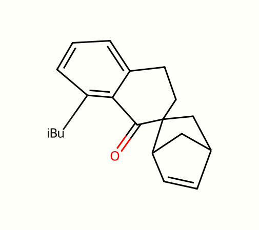 CCC(C)c1cccc2c1C(=O)C1(CC2)CC2C=CC1C2